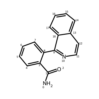 NC(=O)c1ccccc1-c1nccc2ccccc12